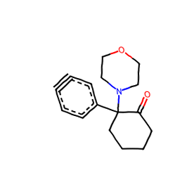 O=C1CCCCC1(c1cc#ccc1)N1CCOCC1